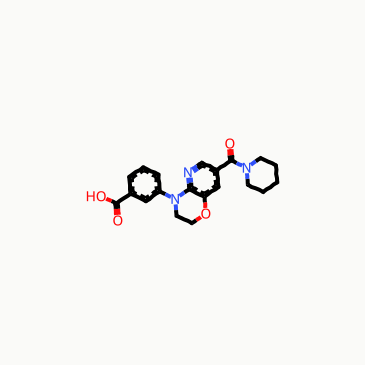 O=C(O)c1cccc(N2CCOc3cc(C(=O)N4CCCCC4)cnc32)c1